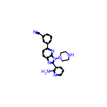 N#Cc1cccc(-c2ccc3nc(-c4cccnc4N)n(N4CCNCC4)c3n2)c1